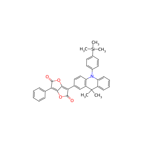 CC1(C)c2ccccc2N(c2ccc([Si](C)(C)C)cc2)c2ccc(C3=C4OC(=O)C(c5ccccc5)=C4OC3=O)cc21